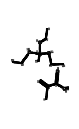 C=C(C)C(=O)O.CCO[Si](C)(OCC)OCC